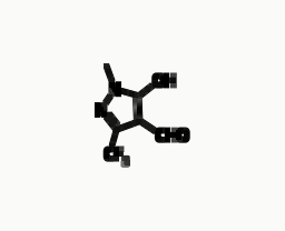 Cn1nc(C(F)(F)F)c(C=O)c1O